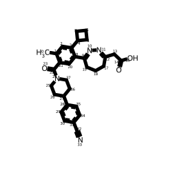 Cc1cc(C2CCC2)c(C2=NN=C(CC(=O)O)CCC2)cc1C(=O)N1CCC(c2ccc(C#N)cc2)CC1